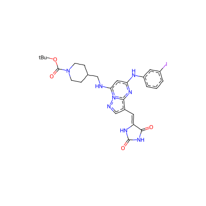 CC(C)(C)OC(=O)N1CCC(CNc2cc(Nc3cccc(I)c3)nc3c(/C=C4\NC(=O)NC4=O)cnn23)CC1